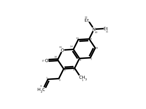 C=CCc1c(C)c2ccc(N(CC)CC)cc2oc1=O